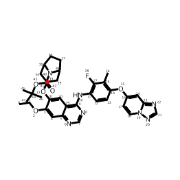 CCOc1cc2ncnc(Nc3ccc(Oc4ccn5ncnc5c4)c(C)c3F)c2cc1OC1CC2CCC(C1)N2C(=O)OC(C)(C)C